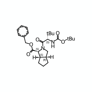 CC(C)(C)OC(=O)N[C@H](C(=O)N1C[C@@H]2CCC[C@@H]2[C@H]1C(=O)OCc1ccccc1)C(C)(C)C